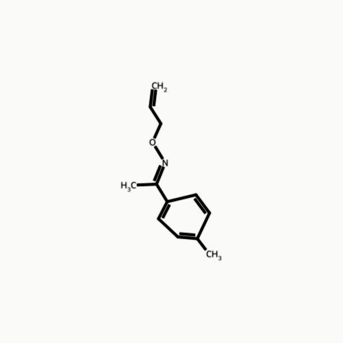 C=CCO/N=C(\C)c1ccc(C)cc1